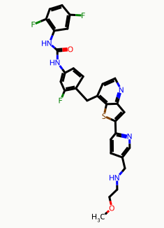 COCCNCc1ccc(-c2cc3nccc(Cc4ccc(NC(=O)Nc5cc(F)ccc5F)cc4F)c3s2)nc1